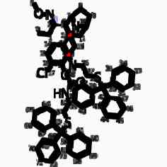 CC/C(=N\OC)[C@@H]1C2CCC(C[C@H]1c1ccc(Cl)c(Cl)c1)N2CCCN(CCSC(c1ccccc1)(c1ccccc1)c1ccccc1)CC(=O)NCCSC(c1ccccc1)(c1ccccc1)c1ccccc1